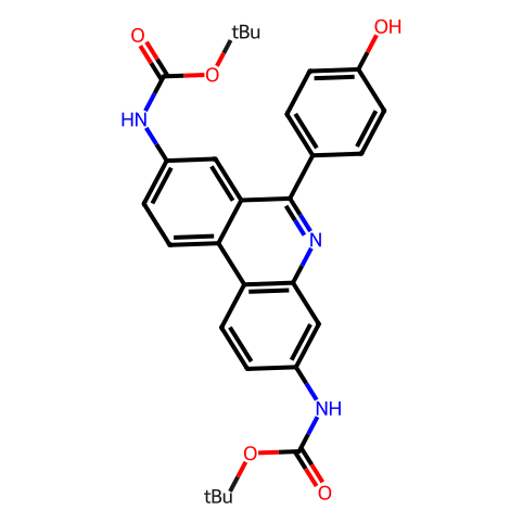 CC(C)(C)OC(=O)Nc1ccc2c(c1)nc(-c1ccc(O)cc1)c1cc(NC(=O)OC(C)(C)C)ccc12